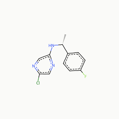 C[C@@H](Nc1cnc(Cl)cn1)c1ccc(F)cc1